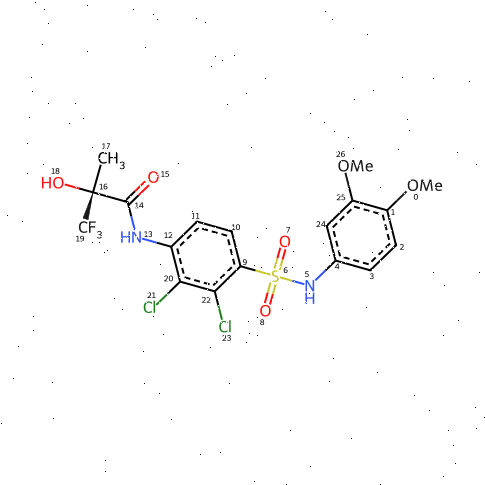 COc1ccc(NS(=O)(=O)c2ccc(NC(=O)[C@@](C)(O)C(F)(F)F)c(Cl)c2Cl)cc1OC